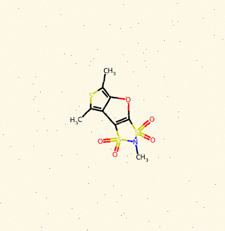 Cc1sc(C)c2c3c(oc12)S(=O)(=O)N(C)S3(=O)=O